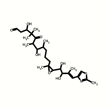 C/C(=C\c1csc(C)n1)C(O)C(O)C1OC1(C)CCCC(C)C(O)C(C)C(=O)C(C)(C)C(O)CC=O